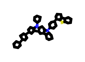 c1ccc(-c2ccc(-c3ccc4c(c3)c3cc5c6ccccc6n(-c6ccc(-c7cccc8c7sc7ccccc78)cc6)c5cc3n4-c3ccccc3)cc2)cc1